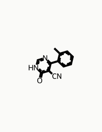 Cc1ccccc1-c1nc[nH]c(=O)c1C#N